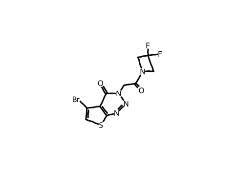 O=C(Cn1nnc2scc(Br)c2c1=O)N1CC(F)(F)C1